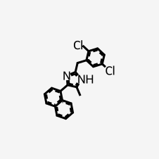 Cc1[nH]c(Cc2cc(Cl)ccc2Cl)nc1-c1cccc2ccccc12